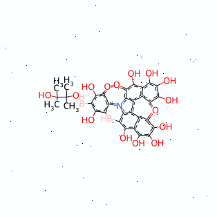 CC(C)(O)C(C)(C)OBc1c(O)c2c3c(ooc4c(O)c5c(O)c(O)c(O)c6oc7c(O)c(O)c(O)c8c(O)c(c9c(c78)c(c65)c4n39)B2)c1O